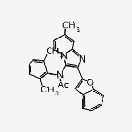 CC(=O)N(c1c(C)cccc1C)c1c(-c2cc3ccccc3o2)nc2cc(C)ccn12